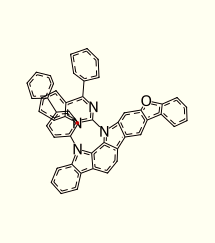 c1ccc(-c2ccc(-n3c4ccccc4c4ccc5c6cc7c(cc6n(-c6nc(-c8ccccc8)c8ccccc8n6)c5c43)oc3ccccc37)cc2)cc1